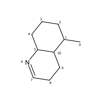 CC1CCCC2N=CCCC12